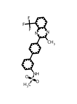 Cc1nc2cccc(C(F)(F)F)c2nc1-c1ccc(-c2cccc(NS(C)(=O)=O)c2)cc1